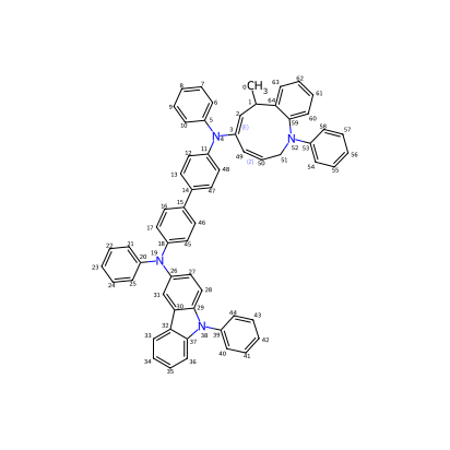 CC1/C=C(N(c2ccccc2)c2ccc(-c3ccc(N(c4ccccc4)c4ccc5c(c4)c4ccccc4n5-c4ccccc4)cc3)cc2)\C=C/CN(c2ccccc2)c2ccccc21